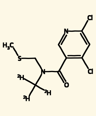 [2H]C([2H])([2H])N(CSC)C(=O)c1cnc(Cl)cc1Cl